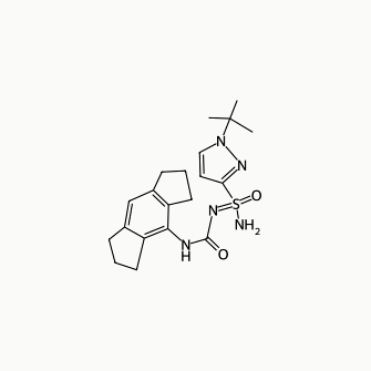 CC(C)(C)n1ccc(S(N)(=O)=NC(=O)Nc2c3c(cc4c2CCC4)CCC3)n1